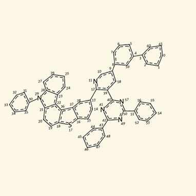 c1ccc(-c2cccc(-c3cnc(-c4ccc5sc6ccc7c(c8ccccc8n7-c7ccccc7)c6c5c4)c(-c4nc(-c5ccccc5)nc(-c5ccccc5)n4)c3)c2)cc1